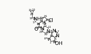 C[C@@H]1C[C@H](O)c2ncnc(N3CCN(C(=O)[C@H](CNCC4CC4)C4=CCC(Cl)S4)CC3)c21